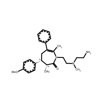 COc1ccc([C@@H]2CC(c3ccccc3)=C(C)N(CCN(C)CCN)C(=O)[C@@H]2OC(C)=O)cc1